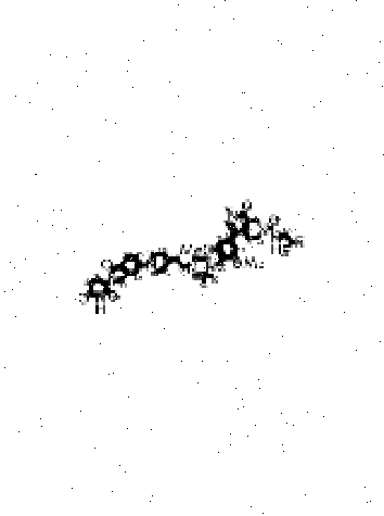 COc1cc(-c2cn(C)c(=O)c3c2CCN(C(=O)NCC(F)F)C3)cc(OC)c1CN1CCN(CCC2CCN(c3ccc4c(c3)CN(C3CCC(=O)NC3=O)C4=O)CC2)CC1(C)C